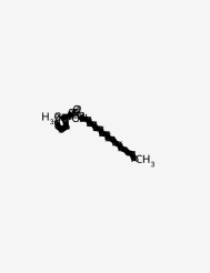 CCCCCCCCCCCCCCCCCCOP(=O)(O)OCC[N+]1(C)CC=CCC1